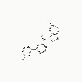 O=C(c1cc(-c2cccc(Cl)c2)ncn1)C1CNc2ccc(Cl)cc21